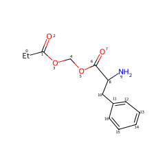 CCC(=O)OCOC(=O)C(N)Cc1ccccc1